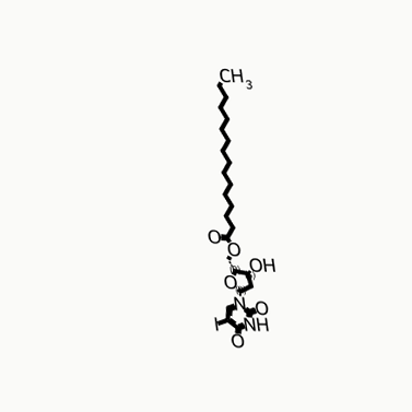 CCCCCCCCCCCCCCCC(=O)OC[C@H]1O[C@@H](n2cc(I)c(=O)[nH]c2=O)C[C@@H]1O